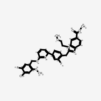 COCCn1c(Cc2ccc(-c3cccc(OCc4cc(F)c(Cl)cc4OC)n3)cc2F)nc2ccc(C(=O)OC)cc21